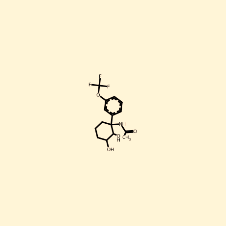 CC(=O)NC1(c2cccc(OC(F)(F)F)c2)CCCC(O)C1O